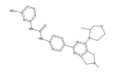 CC1COCCN1c1nc(-c2ccc(NC(=O)Nc3cccc(O)n3)cc2)nc2c1CN(C)C2